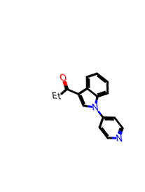 CCC(=O)c1cn(-c2ccncc2)c2ccccc12